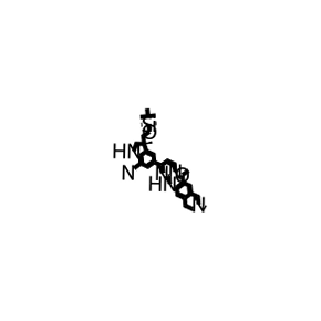 COc1cc2c(cc1Nc1nccc(-c3cc(C#N)c4c(c3)[C@@](C)(CO[Si](C)(C)C(C)(C)C)CN4)n1)CCN(C)C2